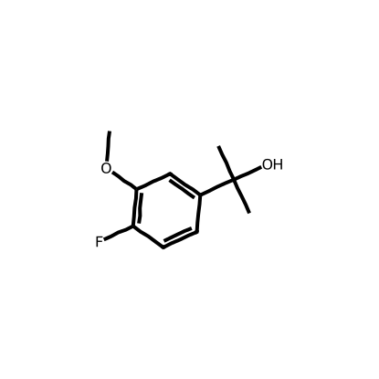 COc1cc(C(C)(C)O)ccc1F